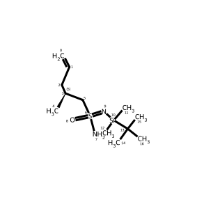 C=CC[C@H](C)CS(N)(=O)=N[Si](C)(C)C(C)(C)C